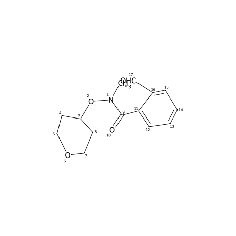 CN(OC1CCOCC1)C(=O)c1ccccc1C=O